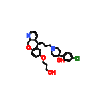 OCCCOc1ccc2c(c1)C(=CCCN1CCC(O)(c3ccc(Cl)cc3)CC1)C1C=CC=NC1CO2